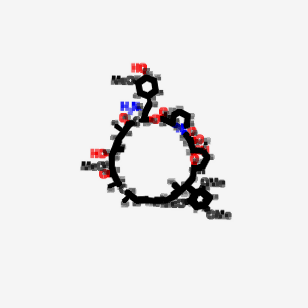 COc1cc(OC)c(C2C[C@@H]3CC[C@@H](C)[C@@](O)(O3)C(=O)C(=O)N3CCCC[C@H]3C(=O)O[C@H]([C@H](N)C[C@@H]3CC[C@@H](O)[C@H](OC)C3)CC(=O)[C@H](C)/C=C(\C)[C@@H](O)[C@@H](OC)C(=O)[C@H](C)C[C@H](C)/C=C/C=C/C=C/2C)c(OC)c1